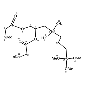 CCCCCCCCCCCC(=O)OCC(C[N+](C)(C)CCC[Si](OC)(OC)OC)OC(=O)CCCCCCCCCCC